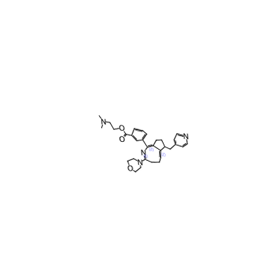 CN(C)CCOC(=O)c1cccc(C2=C3\CCC(Cc4ccncc4)\C3=C\CC/C(N3CCOCC3)=N\2)c1